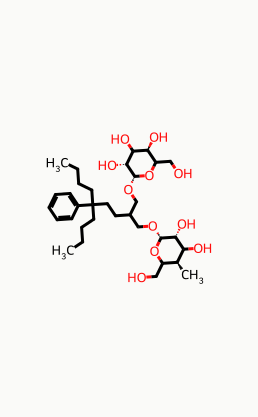 CCCCC(CCCC)(CCC(CO[C@H]1OC(CO)[C@H](C)C(O)[C@H]1O)CO[C@H]1OC(CO)[C@H](O)C(O)[C@H]1O)c1ccccc1